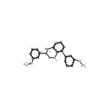 FC(F)(F)Oc1cccc(-c2cccc3c2OCC(c2cccc(SC(F)(F)F)c2)N3)c1